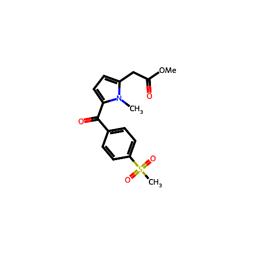 COC(=O)Cc1ccc(C(=O)c2ccc(S(C)(=O)=O)cc2)n1C